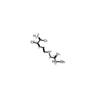 C=C(Cl)/C(Cl)=C\C=C\OCC(=O)NCCC